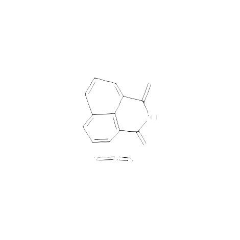 O=C1NC(=O)c2cccc3cccc1c23.[N-]=[N+]=[N-]